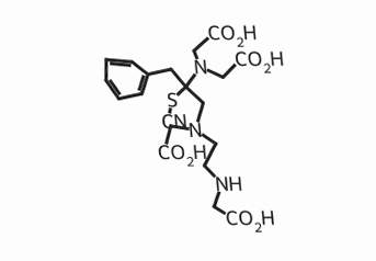 N#CSC(Cc1ccccc1)(CN(CCNCC(=O)O)CC(=O)O)N(CC(=O)O)CC(=O)O